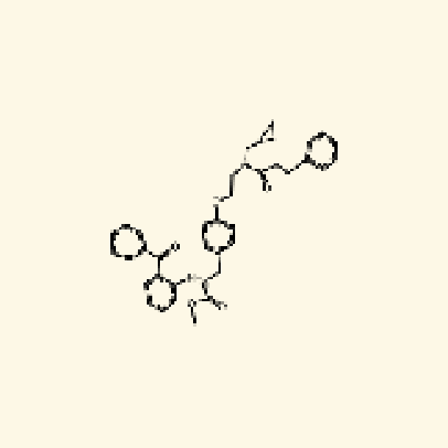 COC(=O)[C@H](Cc1ccc(OCCN(CC2CC2)C(=O)CCc2ccccc2)cc1)Nc1ccccc1C(=O)c1ccccc1